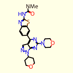 CNC(=O)Nc1nc2ccc(-c3nc(N4CCOCC4)nc4c3cnn4C3CCOCC3)cc2s1